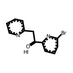 I.O=C(Cc1ccccn1)c1cccc(Br)n1